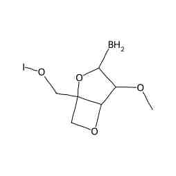 BC1OC2(COI)COC2C1OC